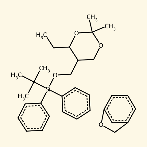 CCC1OC(C)(C)OCC1CO[Si](c1ccccc1)(c1ccccc1)C(C)(C)C.c1cc2cc(c1)OC2